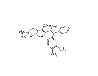 COc1c(C(O)C(c2ccccc2)c2ccc(C)c(C)c2)ccc2c1C=CC(C)(C)O2